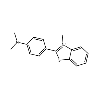 CN(C)c1ccc(-c2sc3ccccc3[n+]2C)cc1